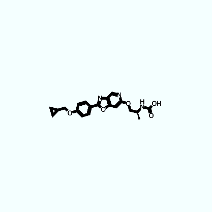 C[C@@H](COc1cc2oc(-c3ccc(OCC4CC4)cc3)nc2cn1)NC(=O)O